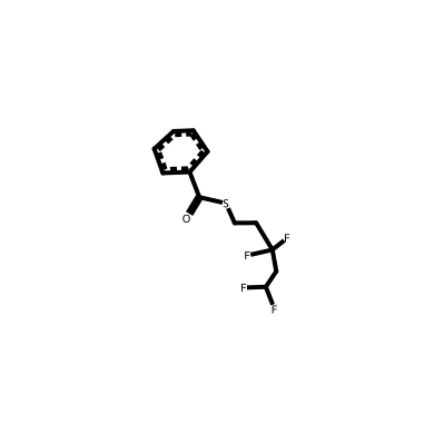 O=C(SCCC(F)(F)CC(F)F)c1ccccc1